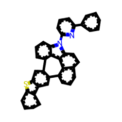 c1ccc(-c2cccc(-n3c4cccc5c4c4c6c(cccc6ccc43)-c3cc4c(cc3-5)sc3ccccc34)n2)cc1